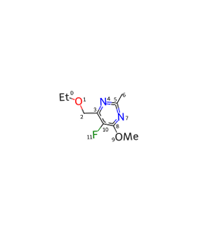 CCOCc1nc(C)nc(OC)c1F